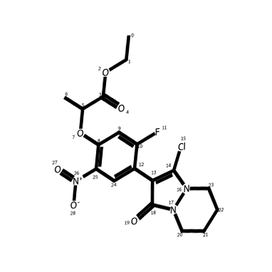 CCOC(=O)C(C)Oc1cc(F)c(-c2c(Cl)n3n(c2=O)CCCC3)cc1[N+](=O)[O-]